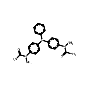 NC(=O)N(N)c1ccc(N(c2ccccc2)c2ccc(N(N)C(N)=O)cc2)cc1